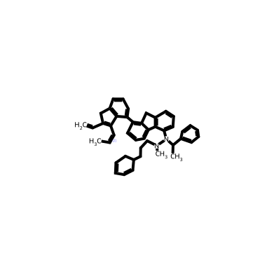 C=CC1=C(/C=C\C)c2c(cccc2-c2cccc3c2Cc2cccc(N(C(C)c4ccccc4)N(C)CCCC4C=CC=CC4)c2-3)C1